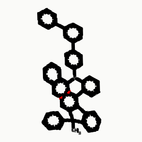 CC1(c2ccccc2)c2ccccc2-c2c(-c3ccccc3N(c3ccc(-c4cccc(-c5ccccc5)c4)cc3)c3cccc4ccccc34)cccc21